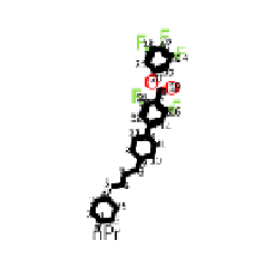 CCC[C@H]1CC[C@H](CCCCC2CCC(c3cc(F)c(C(=O)Oc4cc(F)c(F)c(F)c4)c(F)c3)CC2)CC1